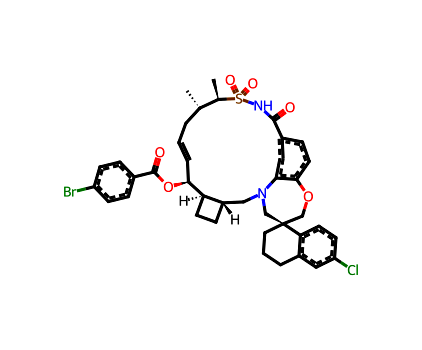 C[C@@H]1[C@@H](C)C/C=C/[C@H](OC(=O)c2ccc(Br)cc2)[C@@H]2CC[C@H]2CN2C[C@@]3(CCCc4cc(Cl)ccc43)COc3ccc(cc32)C(=O)NS1(=O)=O